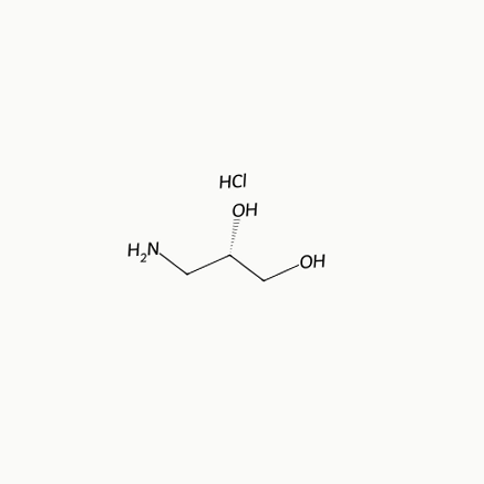 Cl.NC[C@H](O)CO